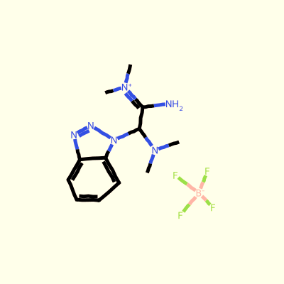 CN(C)C(C(N)=[N+](C)C)n1nnc2ccccc21.F[B-](F)(F)F